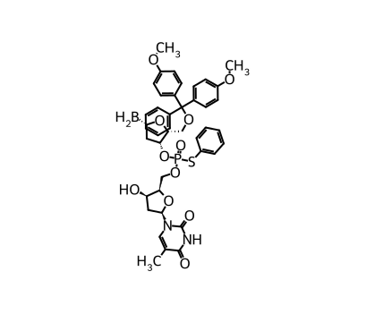 B[C@H]1C[C@@H](OP(=O)(OC[C@H]2O[C@@H](n3cc(C)c(=O)[nH]c3=O)C[C@H]2O)Sc2ccccc2)[C@@H](COC(c2ccccc2)(c2ccc(OC)cc2)c2ccc(OC)cc2)O1